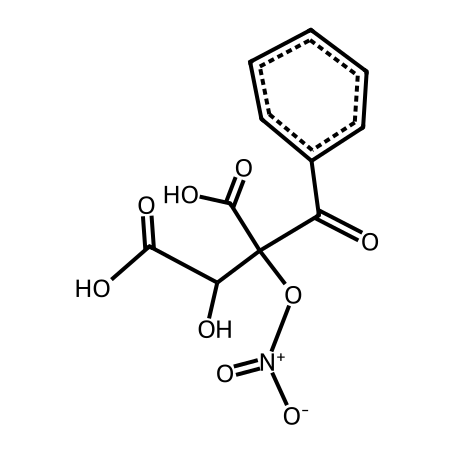 O=C(O)C(O)C(O[N+](=O)[O-])(C(=O)O)C(=O)c1ccccc1